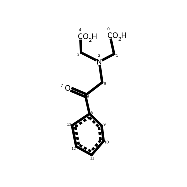 O=C(O)CN(CC(=O)O)CC(=O)c1ccccc1